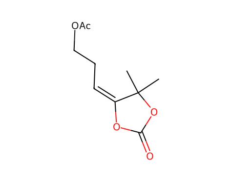 CC(=O)OCCC=C1OC(=O)OC1(C)C